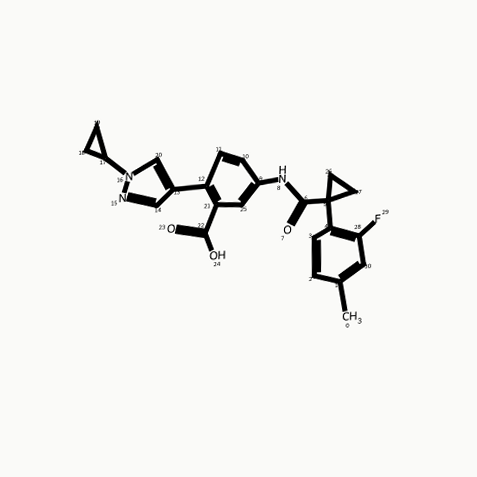 Cc1ccc(C2(C(=O)Nc3ccc(-c4cnn(C5CC5)c4)c(C(=O)O)c3)CC2)c(F)c1